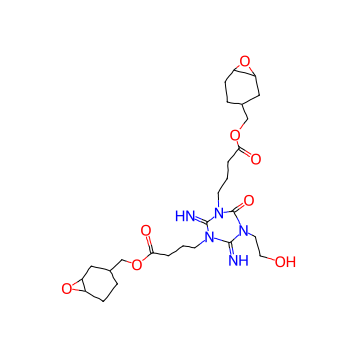 N=c1n(CCCC(=O)OCC2CCC3OC3C2)c(=N)n(CCCC(=O)OCC2CCC3OC3C2)c(=O)n1CCO